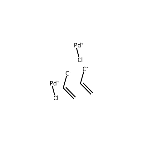 C=C[CH2-].C=C[CH2-].[Cl][Pd+].[Cl][Pd+]